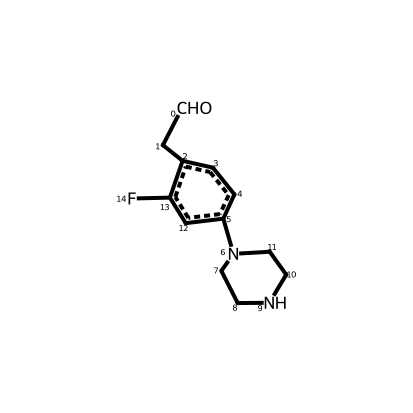 O=CCc1ccc(N2CCNCC2)cc1F